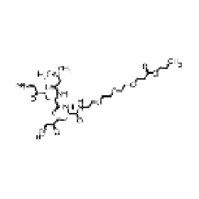 C=CCOC(=O)CCOCCOCCOCCNC(=O)[C@H](CCC(=O)C=[N+]=[N-])NC(=O)[C@H](CCC(=O)C=[N+]=[N-])NC(=O)CN(C)C